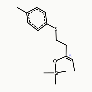 C/C=C(/CCSc1ccc(C)cc1)O[Si](C)(C)C